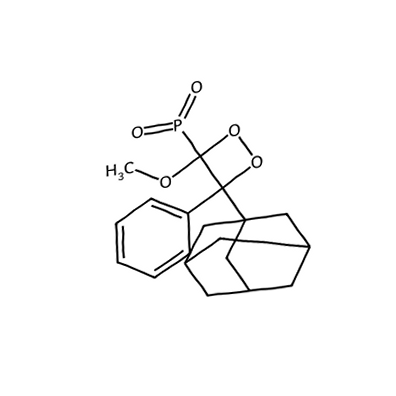 COC1(P(=O)=O)OOC1(c1ccccc1)C12CC3CC(CC(C3)C1)C2